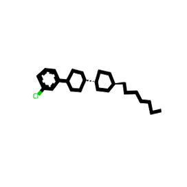 CCCCCCC[C@H]1CC[C@H](C2CCC(c3cccc(Cl)c3)CC2)CC1